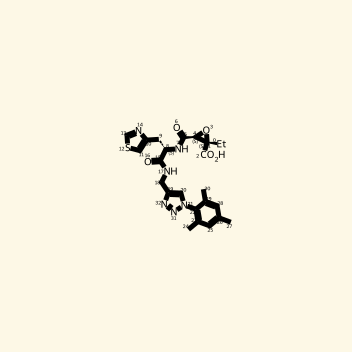 CC[C@]1(C(=O)O)O[C@@H]1C(=O)N[C@@H](Cc1cscn1)C(=O)NCc1cn(-c2c(C)cc(C)cc2C)nn1